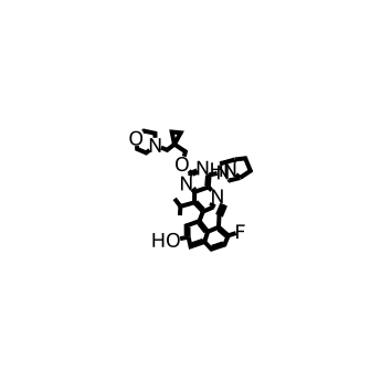 C#Cc1c(F)ccc2cc(O)cc(-c3cnc4c(N5CC6CCC(C5)N6)nc(OCC5(CN6CCOCC6)CC5)nc4c3C(C)C)c12